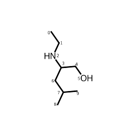 CCNC(CO)CC(C)C